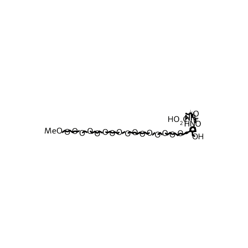 COCCOCCOCCOCCOCCOCCOCCOCCOCCOCCOCCOCCOCCOCCOCCOCCOCC#Cc1cc(NC(=O)[C@H](C)NC(=O)[C@@H](C)C(C)NC(=O)O)ccc1CO